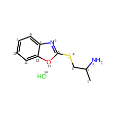 CC(N)CSc1nc2ccccc2o1.Cl